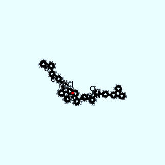 Clc1nc(-c2ccc(-c3ccc4c5ccccc5c5ccccc5c4c3)cc2)nc(-c2cccc3c2oc2ccc(-c4cccc5c4-c4ccccc4[SH]5c4cccc5c6cccc(-c7nc(Cl)nc(-c8ccc9c(c8)oc8ccc(-c%10cccc%11c%10oc%10ccccc%10%11)cc89)n7)c6c6ccccc6c45)cc23)n1